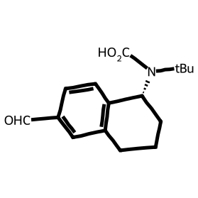 CC(C)(C)N(C(=O)O)[C@@H]1CCCc2cc(C=O)ccc21